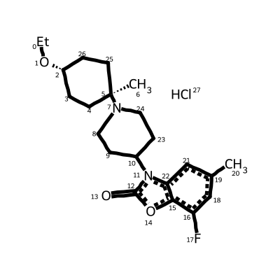 CCO[C@H]1CC[C@](C)(N2CCC(n3c(=O)oc4c(F)cc(C)cc43)CC2)CC1.Cl